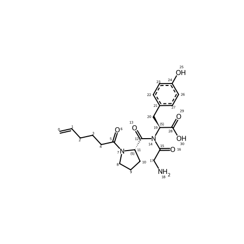 C=CCCCC(=O)N1CCC[C@H]1C(=O)N(C(=O)CN)[C@@H](Cc1ccc(O)cc1)C(=O)O